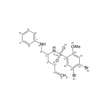 C=CCCC(CNc1ccccc1)NS(=O)(=O)c1cc(Br)c(Br)cc1OC